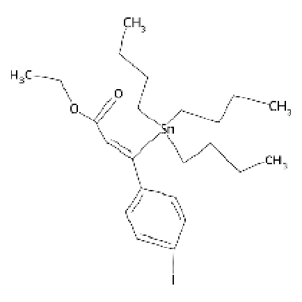 CCC[CH2][Sn]([CH2]CCC)([CH2]CCC)/[C](=C\C(=O)OCC)c1ccc(I)cc1